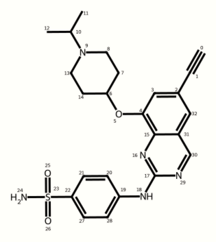 C#Cc1cc(OC2CCN(C(C)C)CC2)c2nc(Nc3ccc(S(N)(=O)=O)cc3)ncc2c1